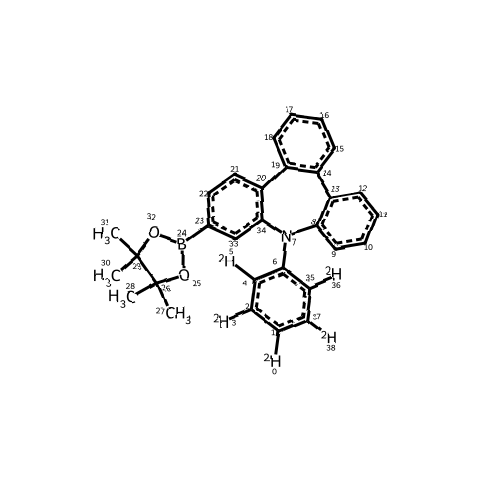 [2H]c1c([2H])c([2H])c(N2c3ccccc3-c3ccccc3-c3ccc(B4OC(C)(C)C(C)(C)O4)cc32)c([2H])c1[2H]